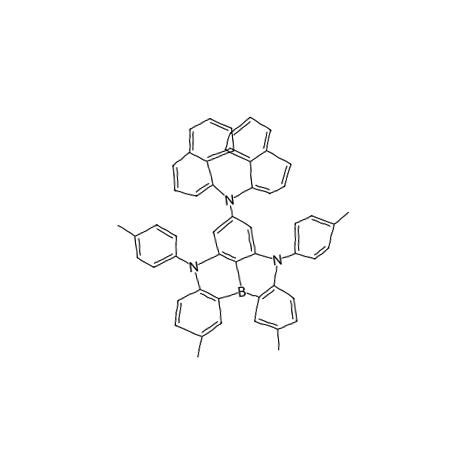 Cc1ccc(N2c3ccc(C)cc3B3c4cc(C)ccc4N(c4ccc(C)cc4)c4cc(N(c5cccc6ccccc56)c5cccc6ccccc56)cc2c43)cc1